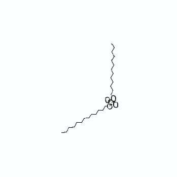 CCCCCCCCCCCCC[O][Cr](=[O])(=[O])[O]CCCCCCCCCCCCC